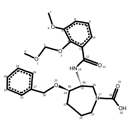 COCOc1c(OC)cccc1C(=O)N[C@@H]1CN(C(=O)O)CCC[C@H]1OCc1ccccc1